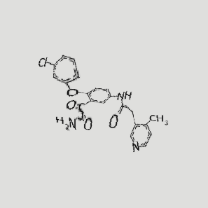 Cc1ccncc1CC(=O)Nc1ccc(Oc2cccc(Cl)c2)c(S(N)(=O)=O)c1